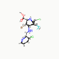 COC(=O)c1nc(Cl)c(F)c(NCc2ncccc2Cl)c1Br